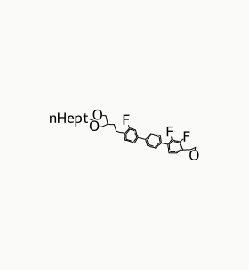 CCCCCCCC1OCC(CCc2ccc(-c3ccc(-c4ccc(C5CO5)c(F)c4F)cc3)cc2F)CO1